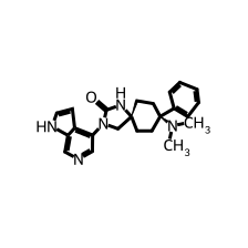 CN(C)[C@]1(c2ccccc2)CC[C@@]2(CC1)CN(c1cncc3[nH]ccc13)C(=O)N2